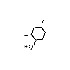 C[C@@H]1CC[C@@H](C(=O)O)[C@@H](C)C1